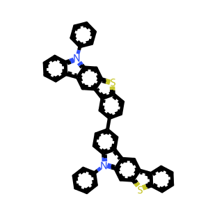 c1ccc(-n2c3ccccc3c3cc4c(cc32)sc2ccc(-c3ccc5c(c3)c3cc6c(cc3n5-c3ccccc3)sc3ccccc36)cc24)cc1